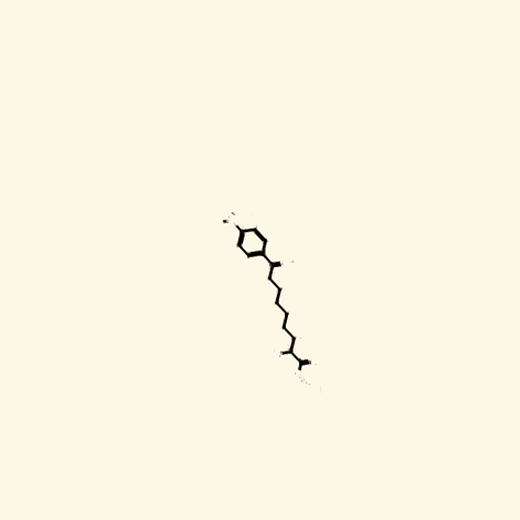 CN(C)c1ccc(C(=O)CCCCCCC(N)C(=O)NO)cc1